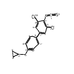 S=C=Nc1c(Cl)cc(-c2ccc(CC3CC3)cc2)cc1Cl